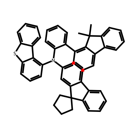 CC1(C)c2ccccc2-c2cccc(-c3ccccc3N(c3ccc4c(c3)C3(CCCC3)c3ccccc3-4)c3cccc4sc5ccccc5c34)c21